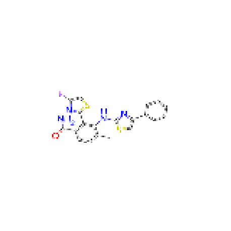 Cc1ccc(C(N)=O)c(-c2nc(I)cs2)c1Nc1nc(-c2ccccc2)cs1